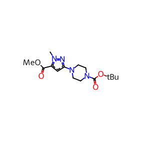 COC(=O)c1cc(N2CCN(C(=O)OC(C)(C)C)CC2)nn1C